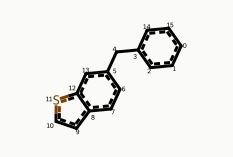 c1ccc(Cc2ccc3ccsc3c2)cc1